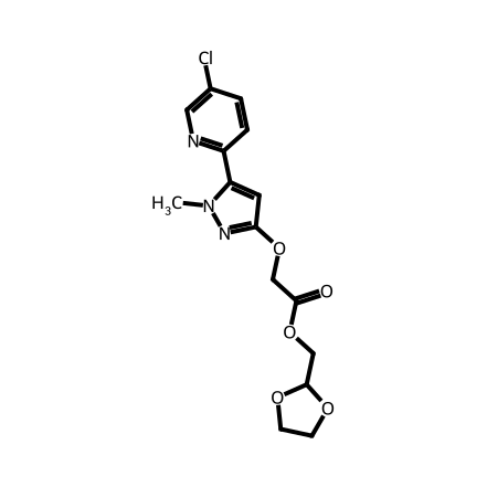 Cn1nc(OCC(=O)OCC2OCCO2)cc1-c1ccc(Cl)cn1